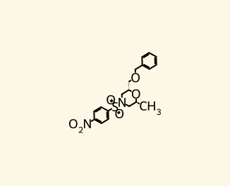 C[C@H]1CN(S(=O)(=O)c2ccc([N+](=O)[O-])cc2)C[C@H](COCc2ccccc2)O1